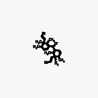 CCC=CC1(C)C(C)=C([S+]([O-])C2=C(C)C(C)(C=CCC)C(C)C=C2)C=CC1C